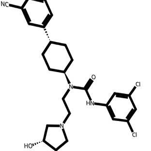 N#Cc1cccc([C@H]2CC[C@H](N(CCN3CC[C@H](O)C3)C(=O)Nc3cc(Cl)cc(Cl)c3)CC2)c1